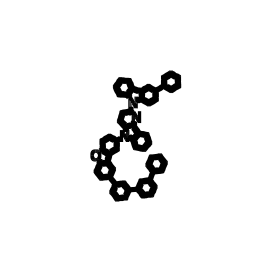 c1ccc(-c2cccc(-c3cccc(-c4ccc5oc6ccc(-n7c8ccccc8c8nc(-n9c%10ccccc%10c%10cc(-c%11ccccc%11)ccc%109)ccc87)cc6c5c4)c3)c2)cc1